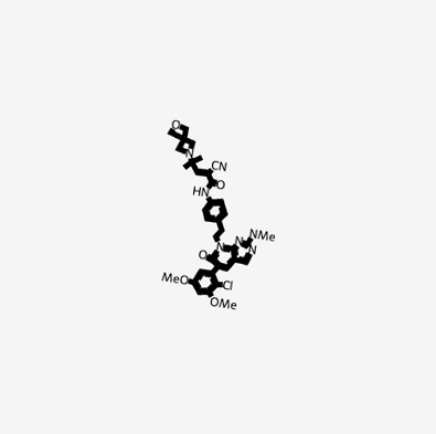 CNc1ncc2cc(-c3cc(OC)cc(OC)c3Cl)c(=O)n(CCc3ccc(NC(=O)C(C#N)=CC(C)(C)N4CC5(COC5)C4)cc3)c2n1